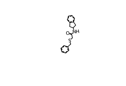 O=C(CSCc1ccccc1)NC1Cc2ccccc2C1